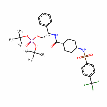 CC(C)(C)OP(=O)(OC[C@@H](NC(=O)[C@H]1CC[C@H](NS(=O)(=O)c2ccc(C(F)(F)F)cc2)CC1)c1ccccc1)OC(C)(C)C